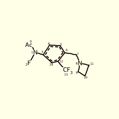 CC(=O)N(F)c1ccc(CN2CCC2)c(C(F)(F)F)c1